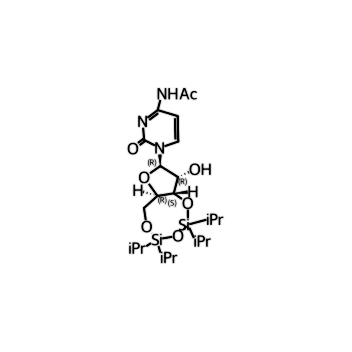 CC(=O)Nc1ccn([C@@H]2O[C@@H]3CO[Si](C(C)C)(C(C)C)O[Si](C(C)C)(C(C)C)O[C@H]3[C@H]2O)c(=O)n1